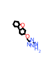 Nc1nc(COc2ccc3c(c2)oc2ccccc23)n[nH]1